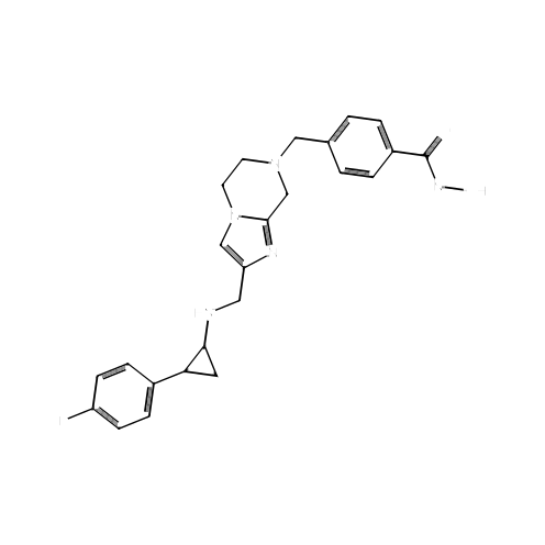 O=C(NO)c1ccc(CN2CCn3cc(CNC4CC4c4ccc(F)cc4)nc3C2)cc1